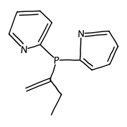 C=C(CC)P(c1ccccn1)c1ccccn1